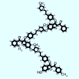 Cc1ccc(C(=O)c2sc3cc(O)ccc3c2Oc2ccc(CCN3CC(Oc4ccc5c(Oc6ccc(CCN7CC(Oc8ccc9c(Oc%10ccc(CCN%11CC[C@H](C)C%11)cc%10)c(C(=O)c%10ccccc%10)sc9c8)[C@H](C)C7)cc6)c(C(=O)c6ccccc6C)sc5c4)[C@H](C)C3)cc2)cc1